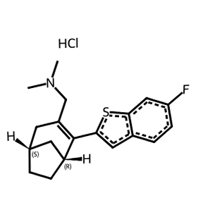 CN(C)CC1=C(c2cc3ccc(F)cc3s2)[C@@H]2CC[C@H](C1)C2.Cl